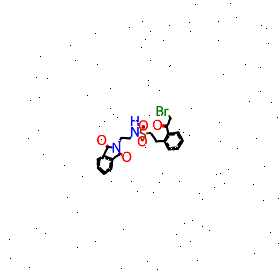 O=C(CBr)c1ccccc1CCS(=O)(=O)NCCN1C(=O)c2ccccc2C1=O